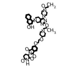 C=CC(=O)N1CCN(c2nc(O[C@H](C)CN3CCC(OCCOc4ccc5c(c4)C(=O)N(C4CCC(=O)NC4=O)C5=O)CC3)nc3c2CCN(c2cc(O)cc4ccccc24)C3)CC1